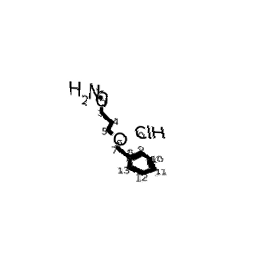 Cl.NOCCCOCc1ccccc1